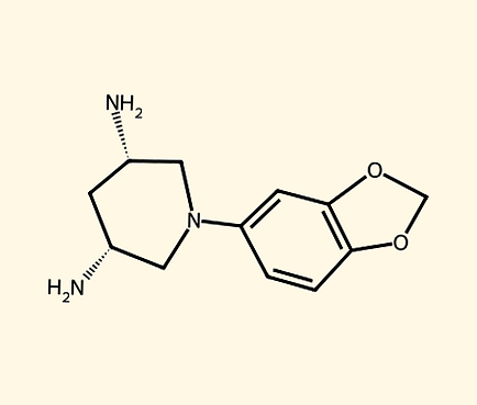 N[C@@H]1C[C@H](N)CN(c2ccc3c(c2)OCO3)C1